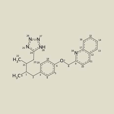 CC(Cc1ccc(OCc2ccc3ccccc3n2)cc1)C(C)Cc1nnn[nH]1